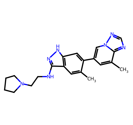 Cc1cc2c(NCCN3CCCC3)n[nH]c2cc1-c1cc(C)c2ncnn2c1